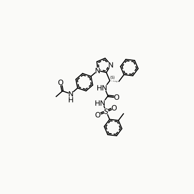 CC(=O)Nc1ccc(-n2ccnc2[C@H](Cc2ccccc2)NC(=O)NS(=O)(=O)c2ccccc2C)cc1